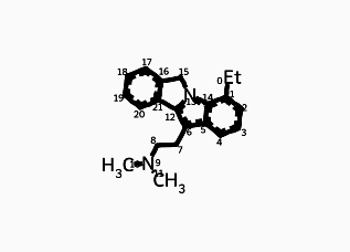 CCc1cccc2c(CCN(C)C)c3n(c12)Cc1ccccc1-3